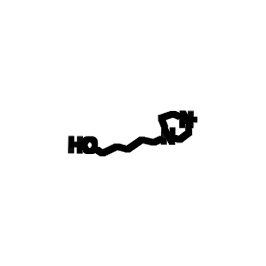 OCCCCCN1CC[N]CC1